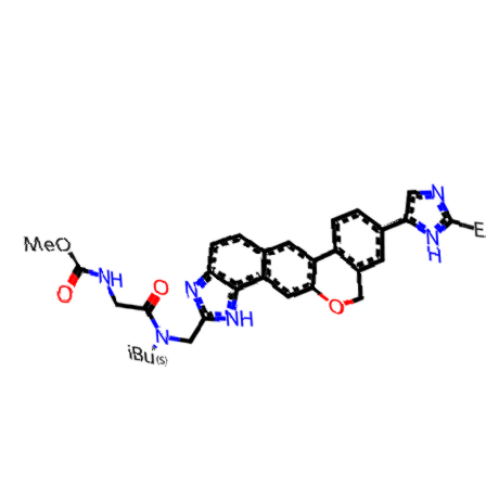 CCc1ncc(-c2ccc3c(c2)COc2cc4c(ccc5nc(CN(C(=O)CNC(=O)OC)[C@@H](C)CC)[nH]c54)cc2-3)[nH]1